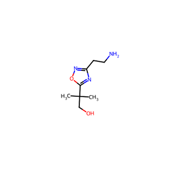 CC(C)(CO)c1nc(CCN)no1